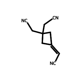 N#CC=C1CC(CC#N)(CC#N)C1